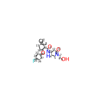 O=C(Nc1ccn(CCO)c(=O)c1)c1cc(C(F)(F)F)ccc1Oc1ccc(F)cc1